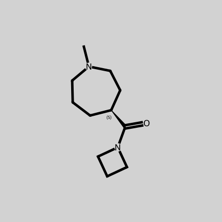 CN1CCC[C@H](C(=O)N2CCC2)CC1